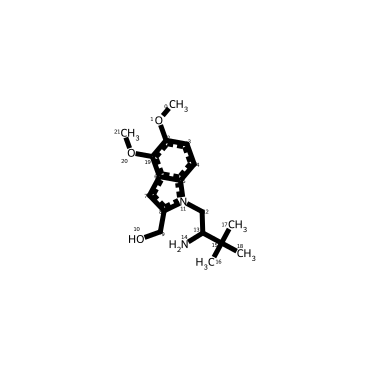 COc1ccc2c(cc(CO)n2CC(N)C(C)(C)C)c1OC